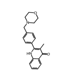 Cc1c(-c2ccc(CN3CCOCC3)cc2)[nH]c2ccccc2c1=O